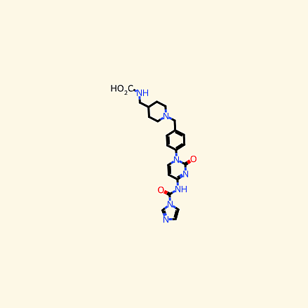 O=C(O)NCC1CCN(Cc2ccc(-n3ccc(NC(=O)n4ccnc4)nc3=O)cc2)CC1